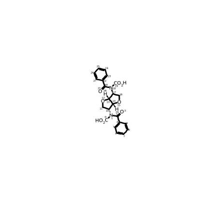 O=C(O)N(C(=O)c1ccccc1)[C@@H]1CO[C@H]2[C@@H]1OC[C@@H]2N(C(=O)O)C(=O)c1ccccc1